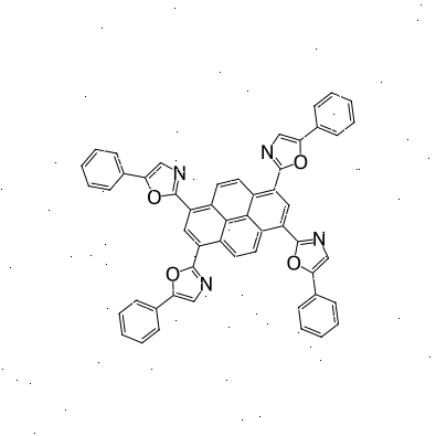 c1ccc(-c2cnc(-c3cc(-c4ncc(-c5ccccc5)o4)c4ccc5c(-c6ncc(-c7ccccc7)o6)cc(-c6ncc(-c7ccccc7)o6)c6ccc3c4c65)o2)cc1